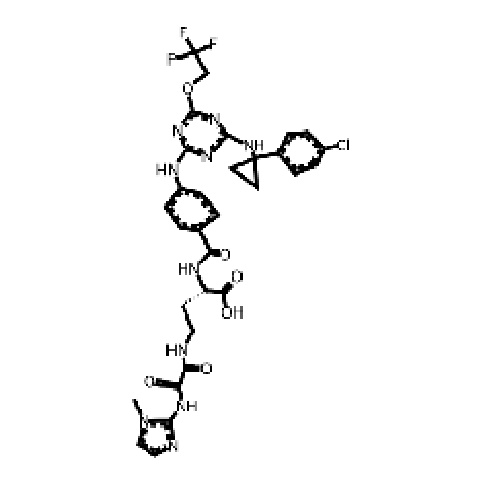 Cn1ccnc1NC(=O)C(=O)NCC[C@H](NC(=O)c1ccc(Nc2nc(NC3(c4ccc(Cl)cc4)CC3)nc(OCC(F)(F)F)n2)cc1)C(=O)O